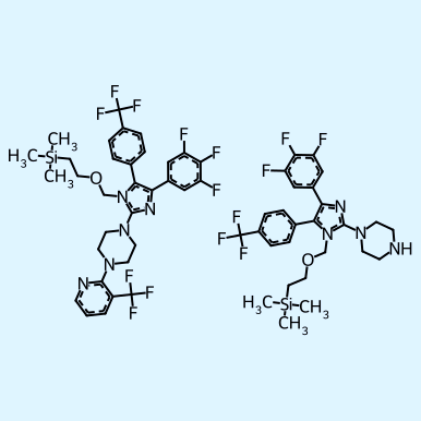 C[Si](C)(C)CCOCn1c(N2CCN(c3ncccc3C(F)(F)F)CC2)nc(-c2cc(F)c(F)c(F)c2)c1-c1ccc(C(F)(F)F)cc1.C[Si](C)(C)CCOCn1c(N2CCNCC2)nc(-c2cc(F)c(F)c(F)c2)c1-c1ccc(C(F)(F)F)cc1